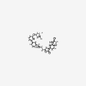 C[C@H]1C[C@H](Oc2cccc(-c3cccc(CNCC[C@H]4CN(c5ccc6c(n5)NC(=O)CO6)C(=O)O4)c3)n2)CN1C